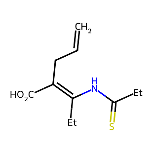 C=CC/C(C(=O)O)=C(/CC)NC(=S)CC